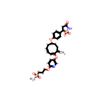 C=C1CC[C@@H](Oc2ccc(C3CC(=O)NS3(=O)=O)cc2)C/C=C\C=C/1Oc1ccc(OCCCS(C)(=O)=O)nc1